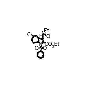 CCOC(=O)c1c([PH](=O)OCC)c2cc(Cl)ccc2n1S(=O)(=O)c1ccccc1